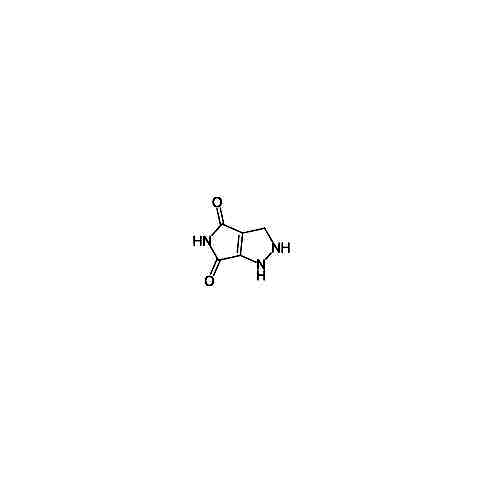 O=C1NC(=O)C2=C1CNN2